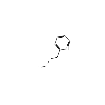 SSSCc1ccccn1